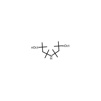 CCCCCCCCC(C)(C)CC(C)(C)NC(C)(C)CC(C)(C)CCCCCCCC